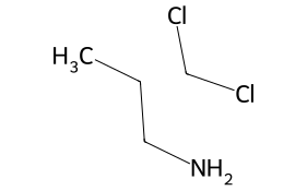 CCCN.ClCCl